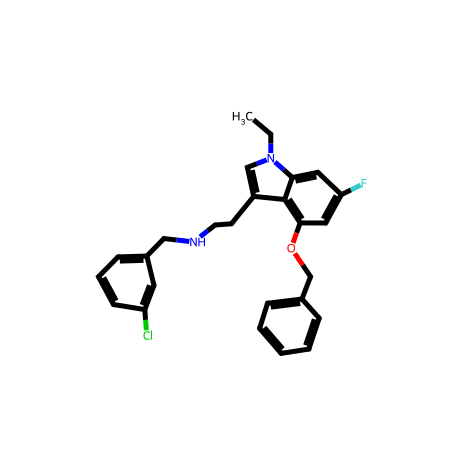 CCn1cc(CCNCc2cccc(Cl)c2)c2c(OCc3ccccc3)cc(F)cc21